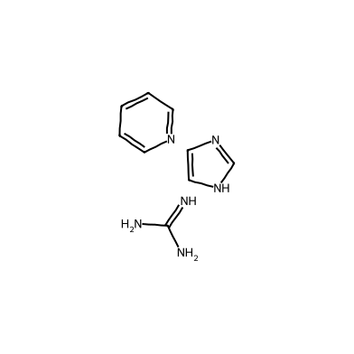 N=C(N)N.c1c[nH]cn1.c1ccncc1